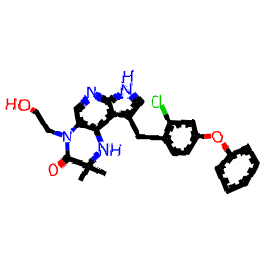 CC1(C)Nc2c(cnc3[nH]cc(Cc4ccc(Oc5ccccc5)cc4Cl)c23)N(CCO)C1=O